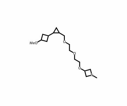 COC1CC(C2CC2COCCOCCOC2CN(C)C2)C1